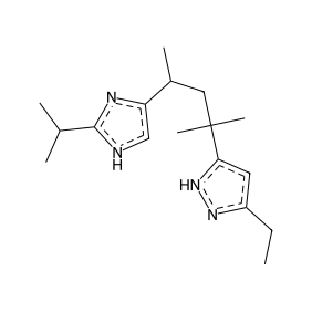 CCc1cc(C(C)(C)CC(C)c2c[nH]c(C(C)C)n2)[nH]n1